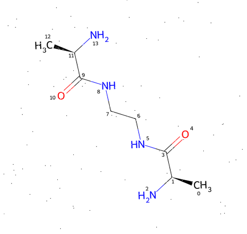 C[C@@H](N)C(=O)NCCNC(=O)[C@@H](C)N